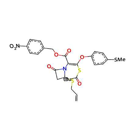 C=CCSC1CC(=O)N1C(C(=O)OCc1ccc([N+](=O)[O-])cc1)=C(Oc1ccc(SC)cc1)SC(=O)C(C)(C)C